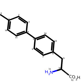 Cc1ccc(-c2ccc(CC(N)C(=O)O)cc2)cc1